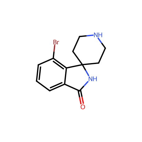 O=C1NC2(CCNCC2)c2c(Br)cccc21